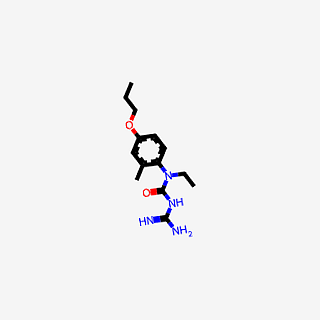 CCCOc1ccc(N(CC)C(=O)NC(=N)N)c(C)c1